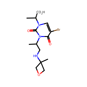 CC(C(=O)O)n1cc(Br)c(=O)n(C(C)CNC2(C)COC2)c1=O